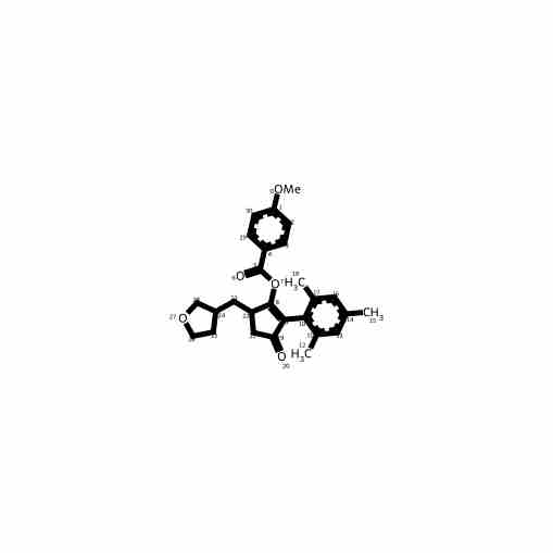 COc1ccc(C(=O)OC2=C(c3c(C)cc(C)cc3C)C(=O)CC2CC2CCOC2)cc1